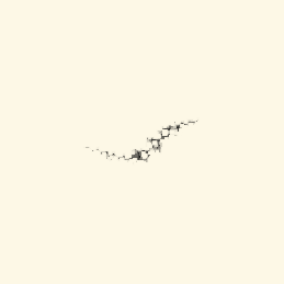 CCCCCCOCCCCC1Oc2ccc(-c3ncc(-c4ccc(OC(=O)CCCCC)cc4)cn3)cc2O1